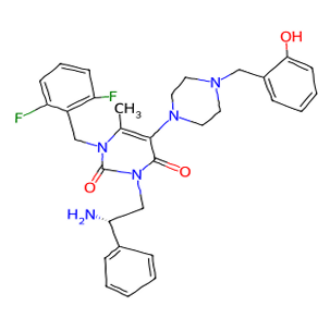 Cc1c(N2CCN(Cc3ccccc3O)CC2)c(=O)n(C[C@@H](N)c2ccccc2)c(=O)n1Cc1c(F)cccc1F